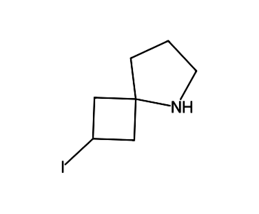 IC1CC2(CCCN2)C1